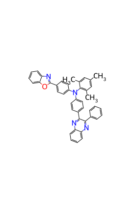 Cc1cc(C)c(N(c2ccc(-c3nc4ccccc4o3)cc2)c2ccc(-c3nc4ccccc4nc3-c3ccccc3)cc2)c(C)c1